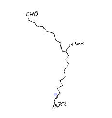 CCCCCCCC/C=C/CCCCCCCCC(C=CCCCCCCCC=O)CCCCCC